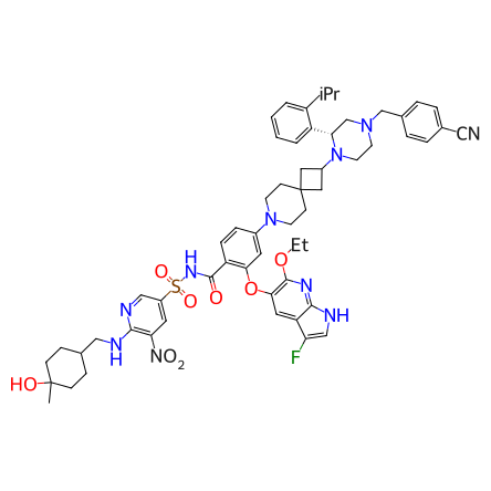 CCOc1nc2[nH]cc(F)c2cc1Oc1cc(N2CCC3(CC2)CC(N2CCN(Cc4ccc(C#N)cc4)C[C@H]2c2ccccc2C(C)C)C3)ccc1C(=O)NS(=O)(=O)c1cnc(NCC2CCC(C)(O)CC2)c([N+](=O)[O-])c1